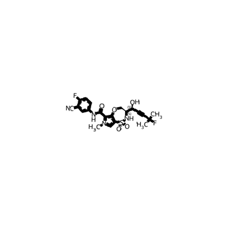 Cn1cc2c(c1C(=O)Nc1ccc(F)c(C#N)c1)OC[C@@H]([C@@H](O)C#CC(C)(C)F)NS2(=O)=O